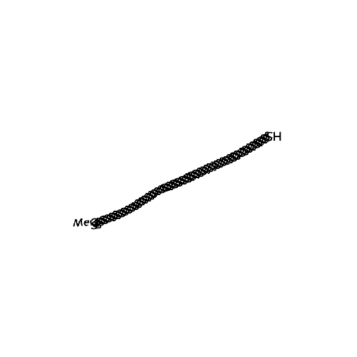 COS(=S)(=S)SSSSSSSSSSSSSSSSSSSSSSSSSSSSSSSSSSSSSSSSSSSSSSSSSSSSSSSSSSSSSSSSSSSSSSSSSSSSSSSSSSSSSSSSSSSS